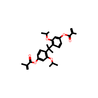 C=C(C)C(=O)Oc1ccc(C(C)(C)c2ccc(OC(=O)C(=C)C)cc2OC(C)C)c(OC(C)C)c1